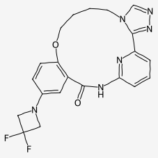 O=C1Nc2cccc(n2)-c2nncn2CCCCOc2ccc(N3CC(F)(F)C3)cc21